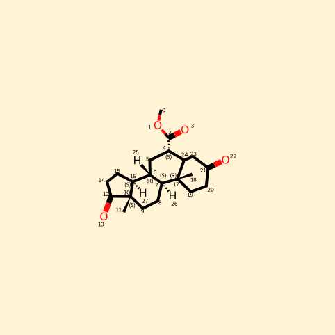 COC(=O)[C@H]1C[C@@H]2[C@H](CC[C@]3(C)C(=O)CC[C@@H]23)[C@@]2(C)CCC(=O)CC12